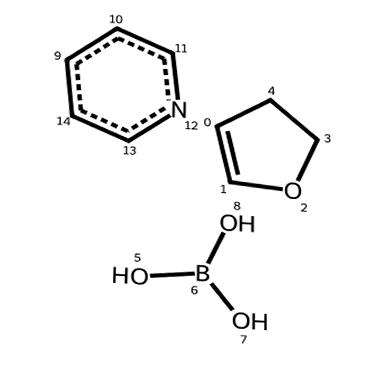 C1=COCC1.OB(O)O.c1ccncc1